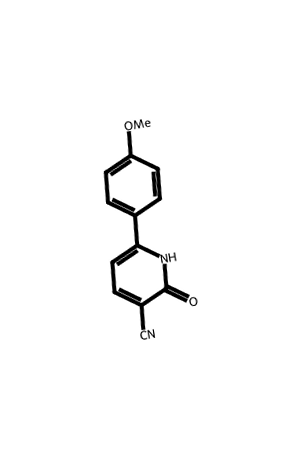 COc1ccc(-c2ccc(C#N)c(=O)[nH]2)cc1